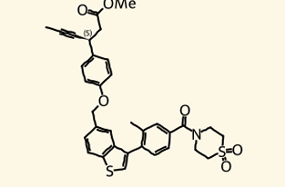 CC#C[C@@H](CC(=O)OC)c1ccc(OCc2ccc3scc(-c4ccc(C(=O)N5CCS(=O)(=O)CC5)cc4C)c3c2)cc1